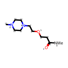 CNC(=O)CCOCCN1CCN(C)CC1